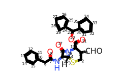 O=CC1CS[C@@H]2C(NC(=O)Cc3ccccc3)C(=O)N2C1C(=O)OC(c1ccccc1)c1ccccc1